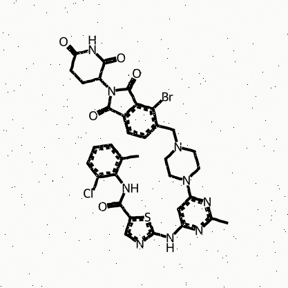 Cc1nc(Nc2ncc(C(=O)Nc3c(C)cccc3Cl)s2)cc(N2CCN(Cc3ccc4c(c3Br)C(=O)N(C3CCC(=O)NC3=O)C4=O)CC2)n1